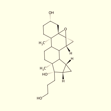 C[C@]12CCC3C(C1[C@@H]1C[C@@H]1[C@@]2(O)CCCO)[C@H]1C[C@]12O[C@]21C[C@@H](O)CC[C@]31C